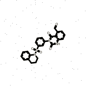 O=Cc1cccc2[nH]c(=O)n(-c3cccc(S(=O)(=O)N4CCCc5ccccc54)c3)c(=O)c12